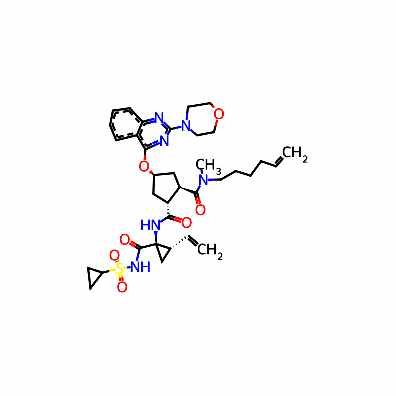 C=CCCCCN(C)C(=O)[C@@H]1C[C@H](Oc2nc(N3CCOCC3)nc3ccccc23)C[C@H]1C(=O)N[C@]1(C(=O)NS(=O)(=O)C2CC2)C[C@H]1C=C